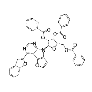 O=C(OC[C@H]1O[C@@H](n2c3ccoc3c3c(-c4cc5ccccc5o4)ncnc32)[C@H](OC(=O)c2ccccc2)[C@@H]1OC(=O)c1ccccc1)c1ccccc1